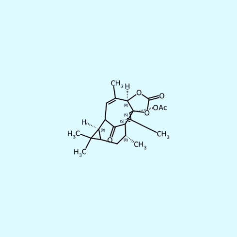 CC(=O)O[C@H]1C(C)=C[C@]23C(=O)C(C=C(C)[C@H]4OC(=O)OC412)[C@H]1C(C[C@H]3C)C1(C)C